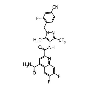 Cc1c(NC(=O)c2cc(C(N)=O)c3cc(F)c(F)cc3n2)c(C(F)(F)F)nn1Cc1ccc(C#N)cc1F